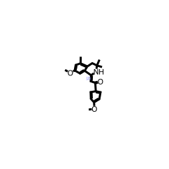 COc1ccc(C(=O)/C=C2\NC(C)(C)Cc3c(C)cc(OC)cc32)cc1